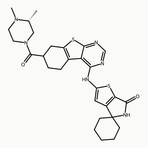 C[C@@H]1CN(C(=O)C2CCc3c(sc4ncnc(Nc5cc6c(s5)C(=O)NC65CCCCC5)c34)C2)CCN1C